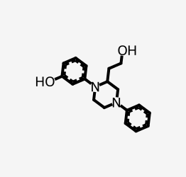 OCCC1CN(c2ccccc2)CCN1c1cccc(O)c1